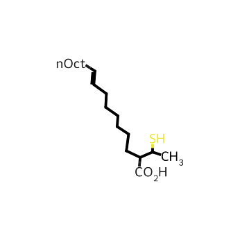 CCCCCCCCC=CCCCCCCC(C(=O)O)C(C)S